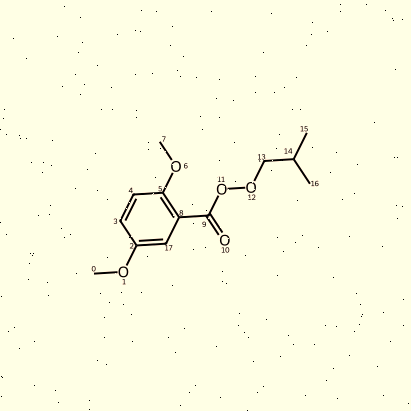 COc1ccc(OC)c(C(=O)OO[CH]C(C)C)c1